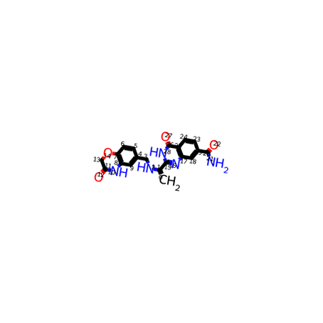 C=C(NCc1ccc2c(c1)NC(=O)CO2)c1nc2cc(C(N)=O)ccc2c(=O)[nH]1